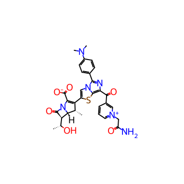 C[C@@H](O)[C@H]1C(=O)N2C(C(=O)[O-])=C(c3cn4c(-c5ccc(N(C)C)cc5)nc(C(=O)c5ccc[n+](CC(N)=O)c5)c4s3)[C@H](C)[C@H]12